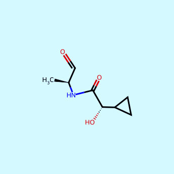 C[C@@H](C=O)NC(=O)[C@@H](O)C1CC1